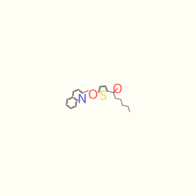 CCCCCC(=O)c1ccc(OCc2ccc3ccccc3n2)s1